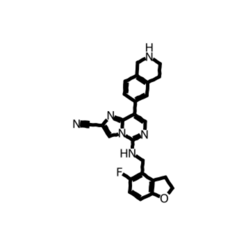 N#Cc1cn2c(NCc3c(F)ccc4c3CCO4)ncc(-c3ccc4c(c3)CCNC4)c2n1